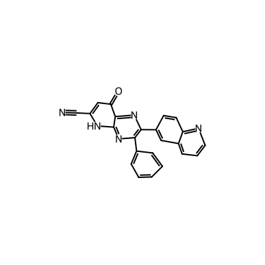 N#Cc1cc(=O)c2nc(-c3ccc4ncccc4c3)c(-c3ccccc3)nc2[nH]1